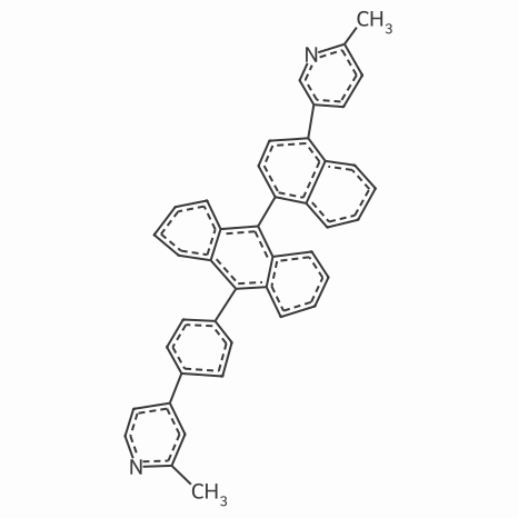 Cc1ccc(-c2ccc(-c3c4ccccc4c(-c4ccc(-c5ccnc(C)c5)cc4)c4ccccc34)c3ccccc23)cn1